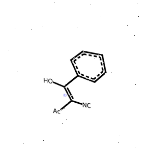 [C-]#[N+]/C(C(C)=O)=C(/O)c1ccccc1